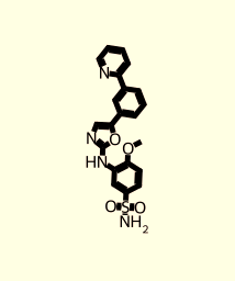 COc1ccc(S(N)(=O)=O)cc1Nc1ncc(-c2cccc(-c3ccccn3)c2)o1